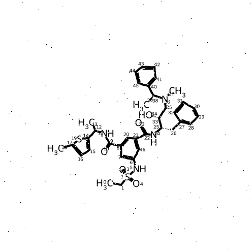 CCS(=O)(=O)Nc1cc(C(=O)NC(C)c2ccc(C)s2)cc(C(=O)N[C@@H](Cc2ccccc2)[C@H](O)CN(C)[C@@H](C)c2ccccc2)c1